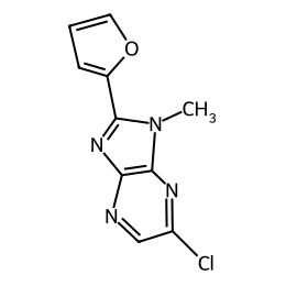 Cn1c(-c2ccco2)nc2ncc(Cl)nc21